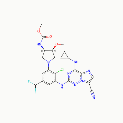 COC(=O)N[C@@H]1CN(c2cc(C(F)F)cc(Nc3nc(NC4CC4)c4ncc(C#N)n4n3)c2Cl)C[C@@H]1OC